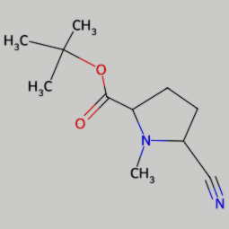 CN1C(C#N)CCC1C(=O)OC(C)(C)C